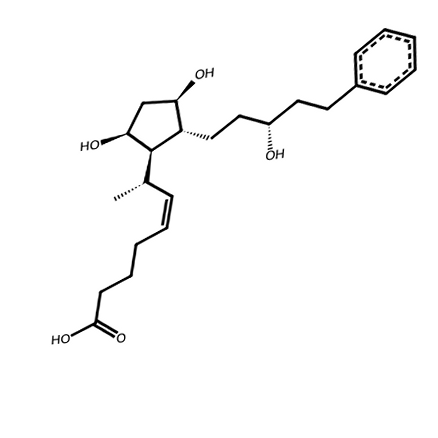 C[C@@H](/C=C\CCCC(=O)O)[C@@H]1[C@@H](CC[C@@H](O)CCc2ccccc2)[C@H](O)C[C@@H]1O